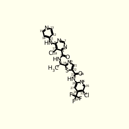 C[C@H](NC(=O)c1ncnc(Nc2ccncc2)c1Cl)c1ncc(C(=O)Nc2cc(C(F)(F)F)c(Cl)cn2)s1